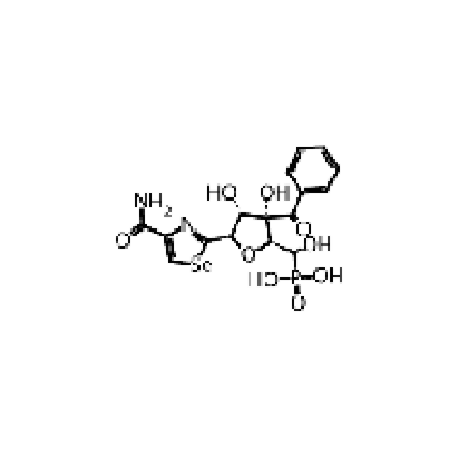 NC(=O)c1c[se]c([C@@H]2O[C@H](C(O)P(=O)(O)O)[C@](O)(C(=O)c3ccccc3)[C@H]2O)n1